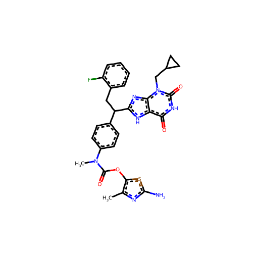 Cc1nc(N)sc1OC(=O)N(C)c1ccc(C(Cc2ccccc2F)c2nc3c([nH]2)c(=O)[nH]c(=O)n3CC2CC2)cc1